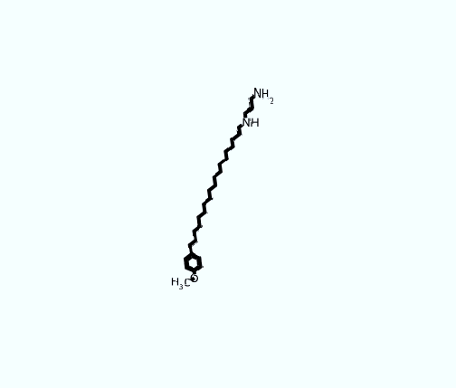 COc1ccc(CCCCCCCCCCCCCCCCCCCNCCCN)cc1